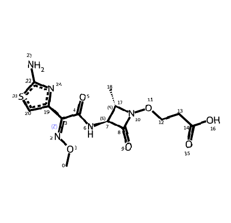 CO/N=C(\C(=O)N[C@@H]1C(=O)N(OCCC(=O)O)[C@H]1C)c1csc(N)n1